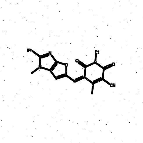 CCN1C(=O)C(C#N)=C(C)/C(=C/c2cc3c(nc(C(C)C)n3C)o2)C1=O